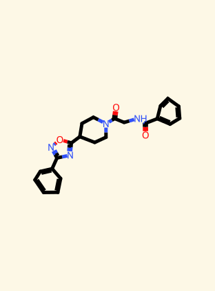 O=C(NCC(=O)N1CCC(c2nc(-c3ccccc3)no2)CC1)c1ccccc1